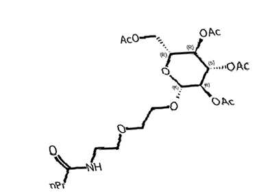 CCCC(=O)NCCOCCO[C@@H]1O[C@H](COC(C)=O)[C@@H](OC(C)=O)[C@H](OC(C)=O)[C@H]1OC(C)=O